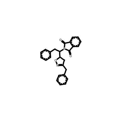 O=C1c2ccccc2C(=O)N1C(Cc1ccccc1)C1CC(Cc2ccccc2)=NO1